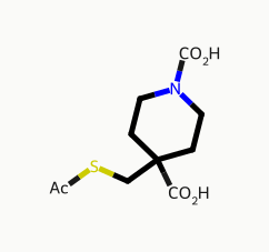 CC(=O)SCC1(C(=O)O)CCN(C(=O)O)CC1